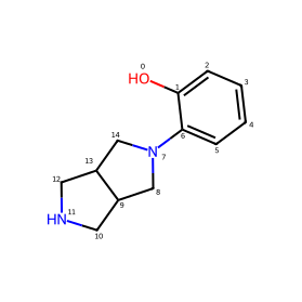 Oc1ccccc1N1CC2CNCC2C1